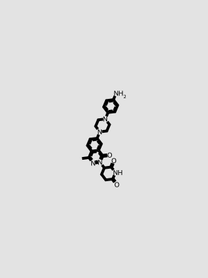 Cc1nn(C2CCC(=O)NC2=O)c(=O)c2cc(N3CCN(c4ccc(N)cc4)CC3)ccc12